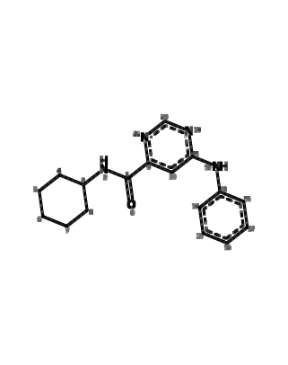 O=C(NC1CCCCC1)c1cc(Nc2ccccc2)ncn1